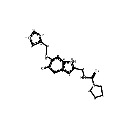 O=C(NCc1cc2cc(Cl)c(OCc3cocn3)cc2[nH]1)N1CCCC1